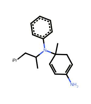 CC(C)CC(C)N(c1ccccc1)C1(C)C=CC(N)=CC1